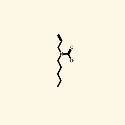 C=CCN(CCCCC)C([O])=O